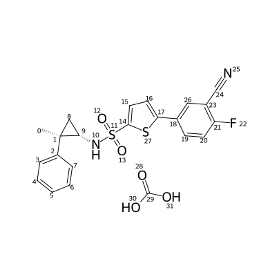 C[C@]1(c2ccccc2)C[C@@H]1NS(=O)(=O)c1ccc(-c2ccc(F)c(C#N)c2)s1.O=C(O)O